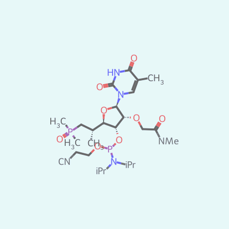 [C-]#[N+]CCOP(O[C@H]1[C@@H](OCC(=O)NC)[C@H](n2cc(C)c(=O)[nH]c2=O)O[C@@H]1[C@H](C)CP(C)(C)=O)N(C(C)C)C(C)C